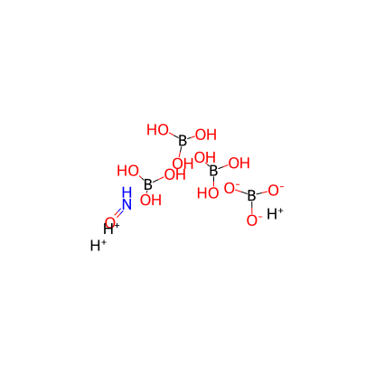 N=O.OB(O)O.OB(O)O.OB(O)O.[H+].[H+].[H+].[O-]B([O-])[O-]